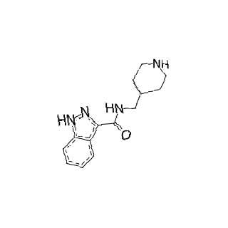 O=C(NCC1CCNCC1)c1n[nH]c2ccccc12